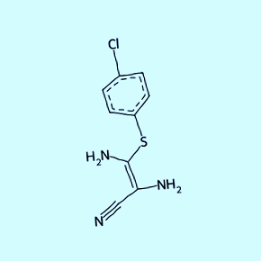 N#CC(N)=C(N)Sc1ccc(Cl)cc1